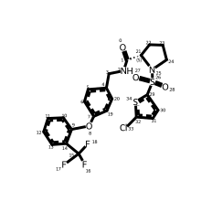 O=C(NCc1ccc(Oc2ccccc2C(F)(F)F)cc1)[C@@H]1CCCN1S(=O)(=O)c1ccc(Cl)s1